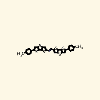 Cc1ccc(-c2cc3c(s2)C2SC(/C=C/c4cc5sc6cc(-c7ccc(C)cc7)sc6c5s4)=CC2S3)cc1